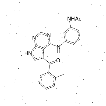 CC(=O)Nc1cccc(Nc2ncnc3[nH]cc(C(=O)c4ccccc4C)c23)c1